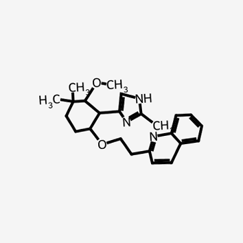 COC1C(c2c[nH]c(C)n2)C(OCCc2ccc3ccccc3n2)CCC1(C)C